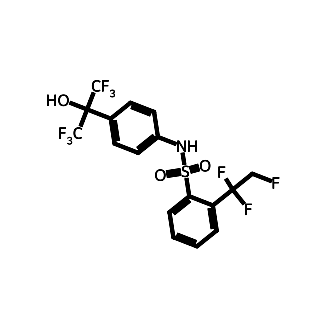 O=S(=O)(Nc1ccc(C(O)(C(F)(F)F)C(F)(F)F)cc1)c1ccccc1C(F)(F)CF